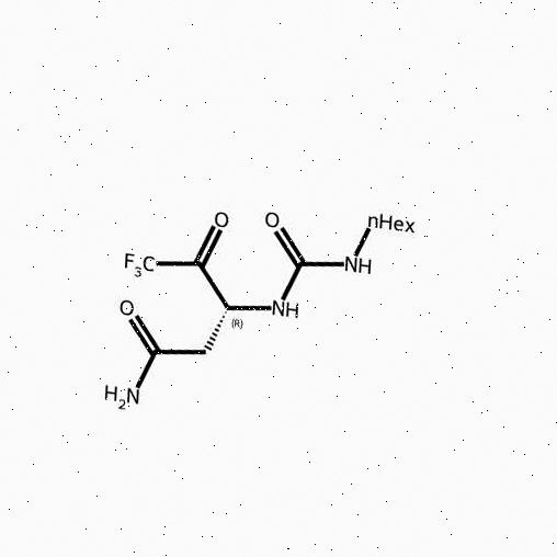 CCCCCCNC(=O)N[C@H](CC(N)=O)C(=O)C(F)(F)F